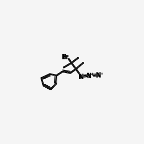 CC(C)(Br)C(C)(C=Cc1ccccc1)N=[N+]=[N-]